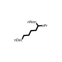 [CH2]CCC(CCCCCCCCC)CCCCCCCCCCCCCC